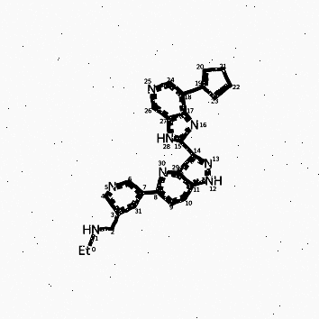 CCNCc1cncc(-c2ccc3[nH]nc(-c4nc5c(C6=CCC=C6)cncc5[nH]4)c3n2)c1